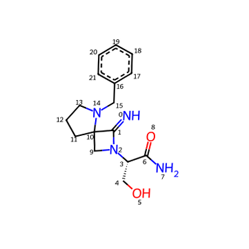 N=C1N([C@@H](CO)C(N)=O)CC12CCCN2Cc1ccccc1